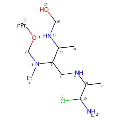 CCCOCN(CC)C(CNC(C)C(N)Cl)C(C)NCO